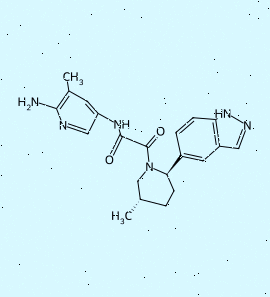 Cc1cc(NC(=O)C(=O)N2C[C@@H](C)CC[C@@H]2c2ccc3[nH]ncc3c2)cnc1N